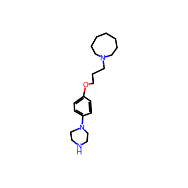 c1cc(N2CCNCC2)ccc1OCCCN1CCCCCCC1